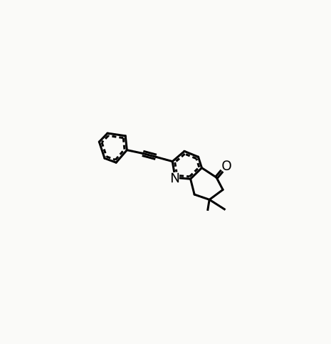 CC1(C)CC(=O)c2ccc(C#Cc3ccccc3)nc2C1